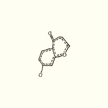 O=c1ccoc2cc(Cl)ccc12